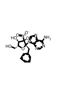 Nc1ncnc2c1ncn2[C@]1(Cc2ccccc2)O[C@H](CO)[C@@H](O)[C@]1(O)[N+](=O)[O-]